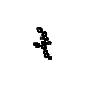 CC(C)c1c(C(=O)Nc2cccc(N3CCOCC3)c2)nn2c(-c3cn[nH]c3)cc(N3Cc4ccc(Cl)cc4C3)nc12